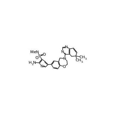 CNS(=O)(=O)c1cc(-c2ccc3c(c2)CN(c2ncnc4c2CC(C)(C)C=C4)CCO3)cnc1N